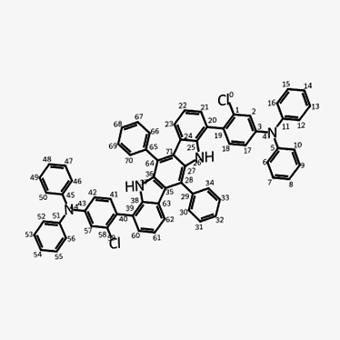 Clc1cc(N(c2ccccc2)c2ccccc2)ccc1-c1cccc2c1[nH]c1c(-c3ccccc3)c3c([nH]c4c(-c5ccc(N(c6ccccc6)c6ccccc6)cc5Cl)cccc43)c(-c3ccccc3)c12